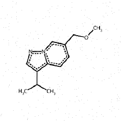 COCc1ccc2c(C(C)C)cnn2c1